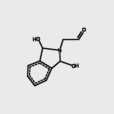 O=CCN1C(O)c2ccccc2C1O